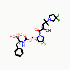 CC(C)(/C=C(\C#N)C(=O)N1C[C@@H](F)C[C@@H]1COC(=O)N[C@@H](Cc1ccccc1)B(O)O)N1CCC(F)(F)C1